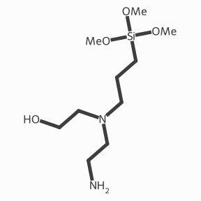 CO[Si](CCCN(CCN)CCO)(OC)OC